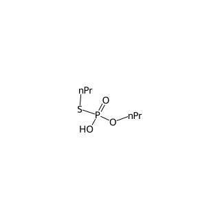 CCCOP(=O)(O)SCCC